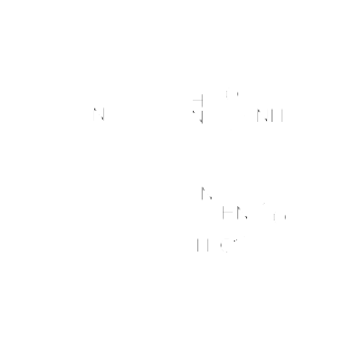 C[C@@H](NC(=O)c1ccc2c(c1)/C(=C(/Nc1ccc(CN3CCCCC3)cc1)c1cccnc1)C(=O)N2)c1ccccc1